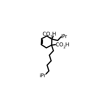 CC(C)CCCCCC1(C(=O)O)CC=CCC1(CC(C)C)C(=O)O